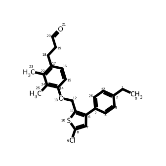 CCc1ccc(-c2cc(Cl)sc2COc2ccc(CCC=O)c(C)c2C)cc1